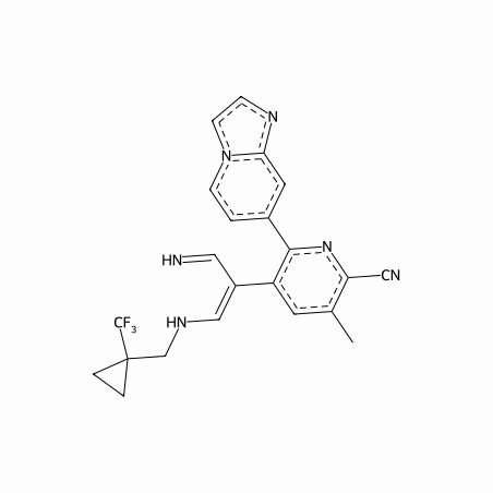 Cc1cc(/C(C=N)=C/NCC2(C(F)(F)F)CC2)c(-c2ccn3ccnc3c2)nc1C#N